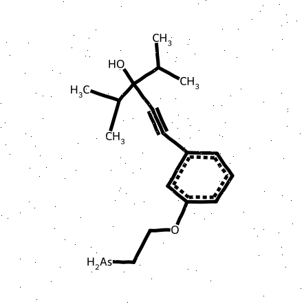 CC(C)C(O)(C#Cc1cccc(OCC[AsH2])c1)C(C)C